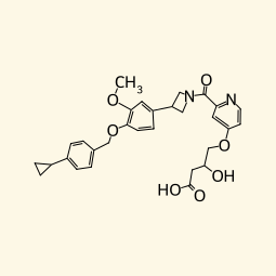 COc1cc(C2CN(C(=O)c3cc(OCC(O)CC(=O)O)ccn3)C2)ccc1OCc1ccc(C2CC2)cc1